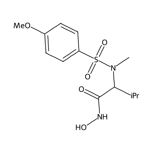 COc1ccc(S(=O)(=O)N(C)C(C(=O)NO)C(C)C)cc1